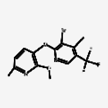 COc1nc(C)ccc1Oc1ncc(C(F)(F)F)c(C)c1Br